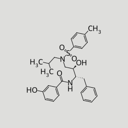 Cc1ccc(S(=O)(=O)N(CC(C)C)C[C@@H](O)[C@H](Cc2ccccc2)NC(=O)c2cccc(O)c2)cc1